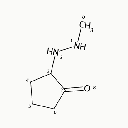 CNNC1CCCC1=O